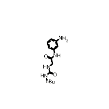 CCCCNC(=O)NCC(=O)Nc1cccc(N)c1